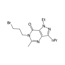 CCCc1nn(CC)c2c(=O)n(CCCBr)c(C)nc12